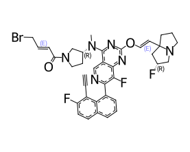 C#Cc1c(F)ccc2cccc(-c3ncc4c(N(C)[C@@H]5CCN(C(=O)/C=C/CBr)C5)nc(O/C=C/C56CCCN5C[C@H](F)C6)nc4c3F)c12